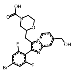 O=C(O)N1CCOC(Cc2c(-c3c(F)cc(Br)cc3F)nc3cc(CO)ccn23)C1